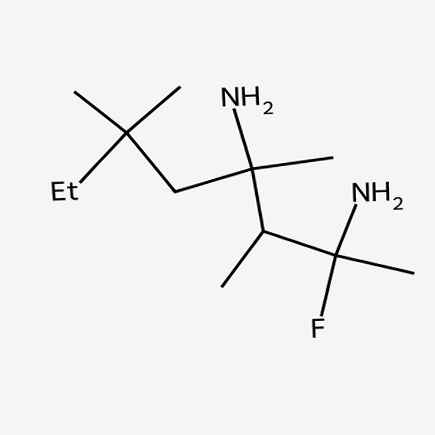 CCC(C)(C)CC(C)(N)C(C)C(C)(N)F